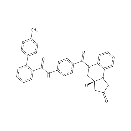 Cc1ccc(-c2ccccc2C(=O)Nc2ccc(C(=O)N3C[C@H]4CC(=O)CN4c4ccccc43)cc2)cc1